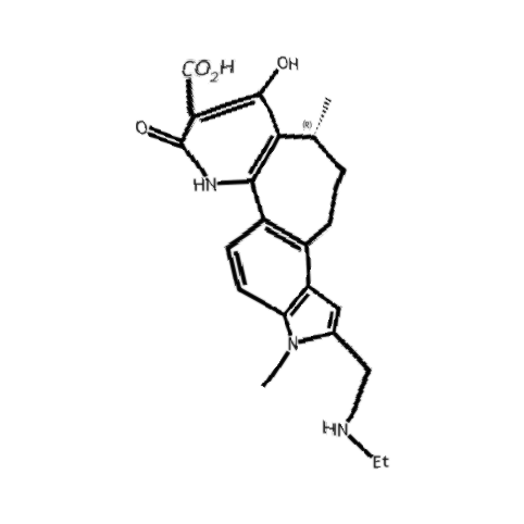 CCNCc1cc2c3c(ccc2n1C)-c1[nH]c(=O)c(C(=O)O)c(O)c1[C@H](C)CC3